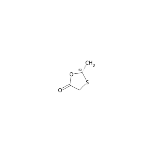 C[C@H]1OC(=O)CS1